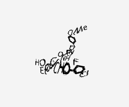 CCOC[C@](C)(C[C@@H](Cc1ccc(-c2cc(Cl)ccc2F)cc1)NC(=O)c1cc(OCc2ccc(OC)cc2)no1)C(=O)O